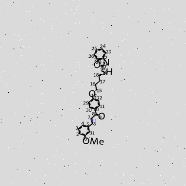 COc1cccc(/C=C/C(=O)c2ccc(OCCCC=[SH]c3nc4ccccc4o3)cc2)c1